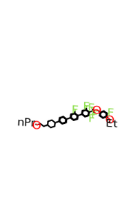 CCCOCCC1CCC(c2ccc(-c3ccc(-c4cc(F)c(C(F)(F)Oc5ccc(OCC)c(F)c5)c(F)c4)c(F)c3)cc2)CC1